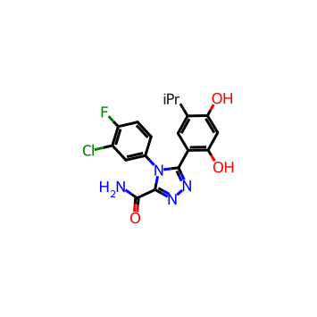 CC(C)c1cc(-c2nnc(C(N)=O)n2-c2ccc(F)c(Cl)c2)c(O)cc1O